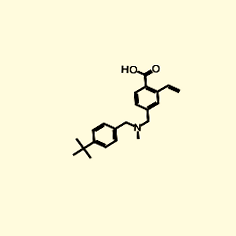 C=Cc1cc(CN(C)Cc2ccc(C(C)(C)C)cc2)ccc1C(=O)O